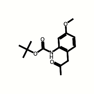 COc1ccc(CC(C)=O)c(NC(=O)OC(C)(C)C)c1